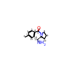 Cc1ccc(C(=O)N2CCC[C@H]2CN)cc1